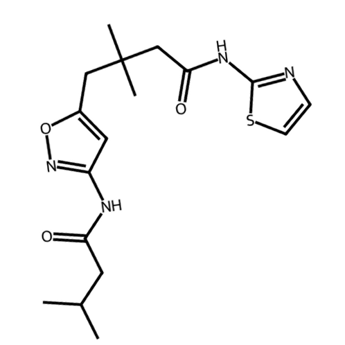 CC(C)CC(=O)Nc1cc(CC(C)(C)CC(=O)Nc2nccs2)on1